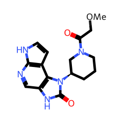 COCC(=O)N1CCC[C@@H](n2c(=O)[nH]c3cnc4[nH]ccc4c32)C1